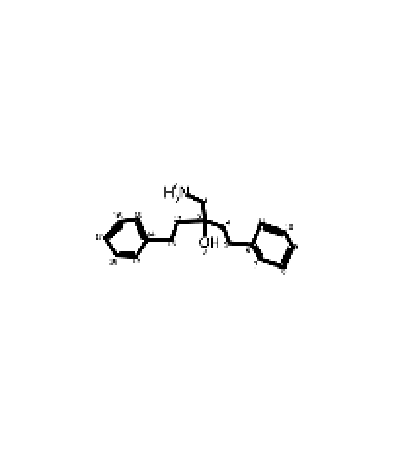 NCC(O)(CCc1ccccc1)CCc1ccccc1